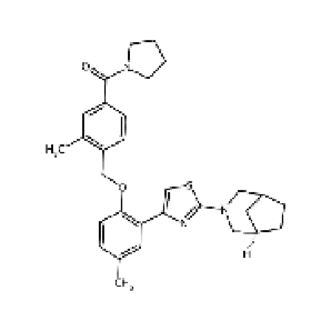 Cc1ccc(OCc2ccc(C(=O)N3CCCC3)cc2C)c(-c2csc(N3CC4CC[C@H](C4)C3)n2)c1